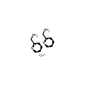 NCc1ccccn1.NCc1ccccn1.[Cu+2]